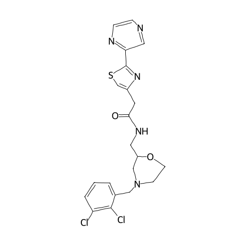 O=C(Cc1csc(-c2cnccn2)n1)NCC1CN(Cc2cccc(Cl)c2Cl)CCO1